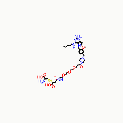 CCCCCNc1nc(N)nc2ccn(Cc3ccc(CN4CCN(C(=O)CCOCCOCCOCCNC(=O)CC(SSC[C@H](N)C(=O)O)C(=O)O)CC4)cc3OC)c12